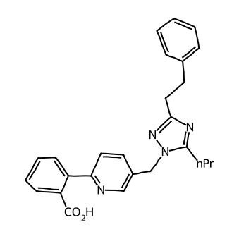 CCCc1nc(CCc2ccccc2)nn1Cc1ccc(-c2ccccc2C(=O)O)nc1